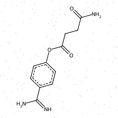 N=C(N)c1ccc(OC(=O)CCC(N)=O)cc1